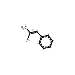 CC(=O)/C(C)=C\c1ccccc1